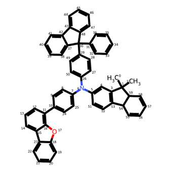 CC1(C)c2cc(N(c3ccc(-c4cccc5c4oc4ccccc45)cc3)c3ccc(C4(c5ccccc5)c5ccccc5-c5ccccc54)cc3)ccc2C2C=CC=CC21